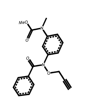 C#CCON(C(=O)c1ccccc1)c1cccc(N(C)C(=O)OC)c1